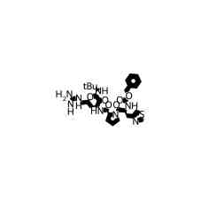 CC(C)(C)NC(=O)C(=O)[C@H](CCCNC(=N)N)NC(=O)[C@@H]1CCCN1C(=O)[C@H](Cc1cscn1)NC(=O)OCc1ccccc1